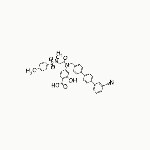 Cc1ccc(S(=O)(=O)N(C)CC(=O)N(Cc2ccc(-c3ccc(-c4cccc(C#N)c4)cc3)cc2)c2ccc(C(=O)O)c(O)c2)cc1